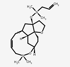 C=CC[Si](C)(C)O[C@@]12CCO[C@@]13CC[C@H]1C[C@@H]3[C@H](CC=CC[Si](C)(C)O1)C2